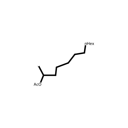 [CH2]C(CCCCCCCCCCC)OC(C)=O